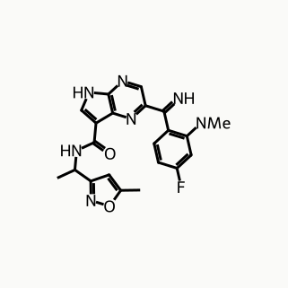 CNc1cc(F)ccc1C(=N)c1cnc2[nH]cc(C(=O)NC(C)c3cc(C)on3)c2n1